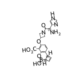 N[C@H](C(=O)N1CC(Oc2ccc3c(c2C(=O)O)OB(O)[C@@H]2C=C[C@H]32)C1)c1c[nH]cn1